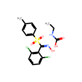 CCNC(=O)O.Cc1ccc(S(=O)(=O)/C(=N/O)c2c(Cl)cccc2Cl)cc1